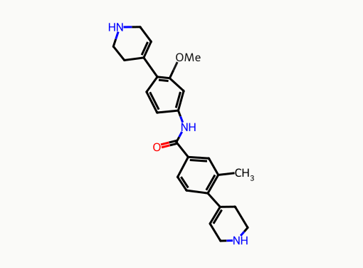 COc1cc(NC(=O)c2ccc(C3=CCNCC3)c(C)c2)ccc1C1=CCNCC1